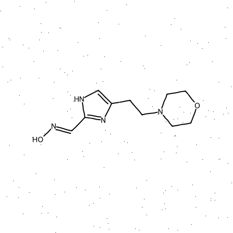 ON=Cc1nc(CCN2CCOCC2)c[nH]1